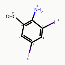 Nc1c(I)cc(I)cc1C=O